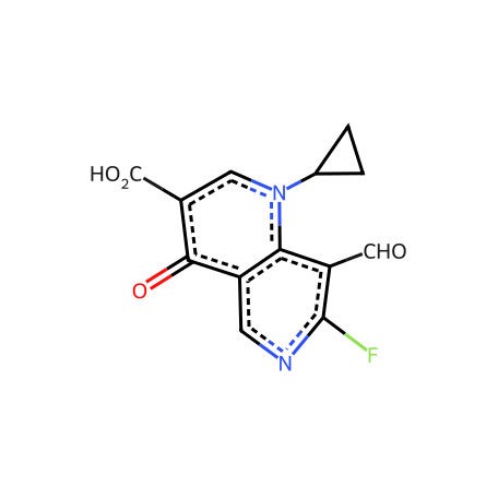 O=Cc1c(F)ncc2c(=O)c(C(=O)O)cn(C3CC3)c12